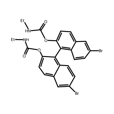 [CH2]CNC(=O)Oc1ccc2cc(Br)ccc2c1-c1c(OC(=O)NC[CH2])ccc2cc(Br)ccc12